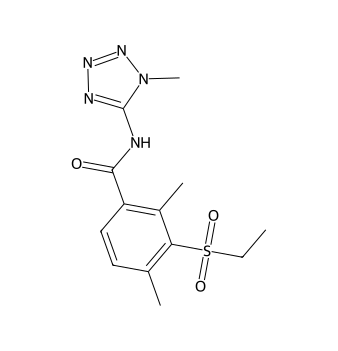 CCS(=O)(=O)c1c(C)ccc(C(=O)Nc2nnnn2C)c1C